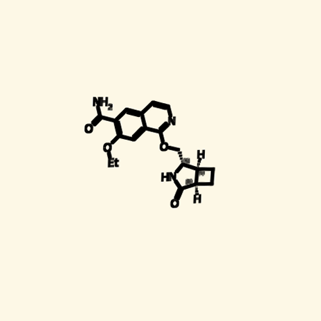 CCOc1cc2c(OC[C@H]3NC(=O)[C@@H]4CC[C@H]34)nccc2cc1C(N)=O